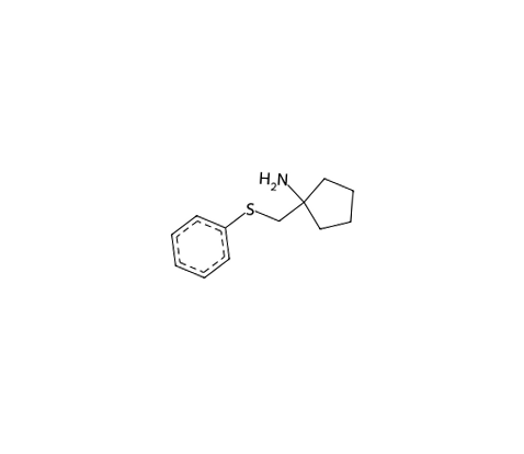 NC1(CSc2ccccc2)CCCC1